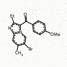 CCc1nc2cc(C)c(Br)cn2c1C(=O)c1ccc(OC)cc1